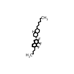 C=CCCc1ccc2cc([C@@H]3CC[C@@H]4CC(CCCCCC)CCC4C3)c(F)c(F)c2c1F